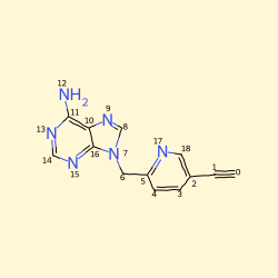 C#Cc1ccc(Cn2cnc3c(N)ncnc32)nc1